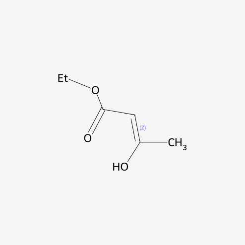 CCOC(=O)/C=C(/C)O